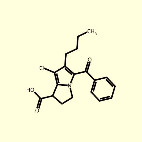 CCCCc1c(Cl)c2n(c1C(=O)c1ccccc1)CCC2C(=O)O